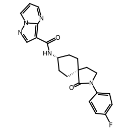 O=C(N[C@H]1CC[C@@]2(CCN(c3ccc(F)cc3)C2=O)CC1)c1cnn2cccnc12